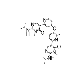 Cc1nc(-c2cnc(NC(C)C)n(C)c2=O)ccc1Oc1ccnc(-c2cnc(NC(C)C)n(C)c2=O)c1